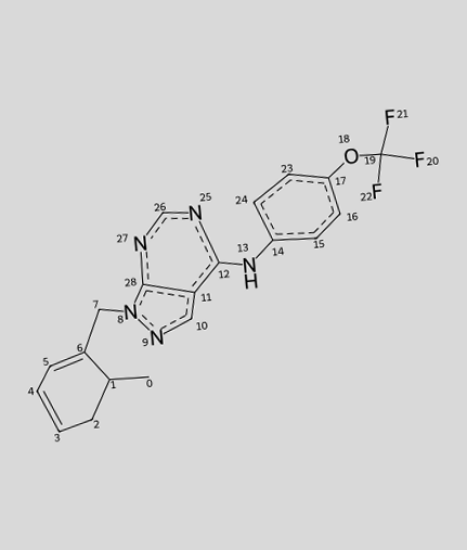 CC1CC=CC=C1Cn1ncc2c(Nc3ccc(OC(F)(F)F)cc3)ncnc21